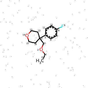 CCOCC1(c2ccc(F)cc2)CCOCC1